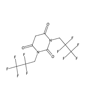 O=C1CC(=O)N(CC(F)(F)C(F)(F)F)C(=O)N1CC(F)(F)C(F)(F)F